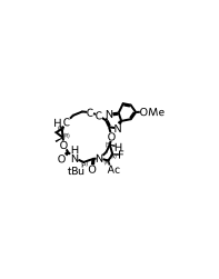 COc1ccc2nc3c(nc2c1)O[C@H]1CN(C(=O)[C@H](C(C)(C)C)NC(=O)O[C@]2(C)C[C@H]2CCCCC3)[C@H](C(C)=O)[C@@H]1F